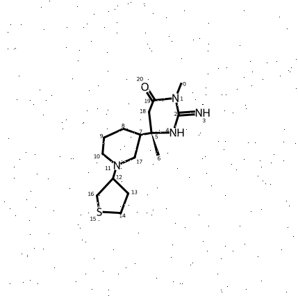 CN1C(=N)N[C@](C)(C2CCCN(C3CCSC3)C2)CC1=O